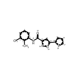 Cc1c(Cl)cccc1NC(=O)c1cc(-c2cccs2)on1